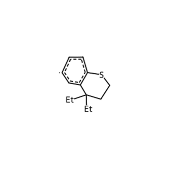 CCC1(CC)CCSc2cc[c]cc21